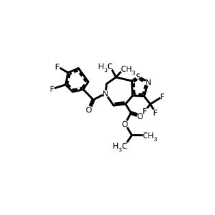 CC(C)OC(=O)C1=CN(C(=O)c2ccc(F)c(F)c2)CC(C)(C)c2snc(C(F)(F)F)c21